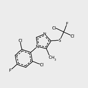 Cc1c(SC(F)(Cl)Cl)ncn1-c1c(Cl)cc(F)cc1Cl